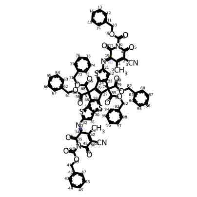 CC1=C(C#N)C(=O)N(C(=O)OCc2ccccc2)C(=O)/C1=N/c1cc2c(s1)C1=C(c3sc4cc(/N=C5/C(=O)N(C(=O)OCc6ccccc6)C(=O)C(C#N)=C5C)sc4c3C1(C(=O)OCc1ccccc1)C(=O)OCc1ccccc1)C2(C(=O)OCc1ccccc1)C(=O)OCc1ccccc1